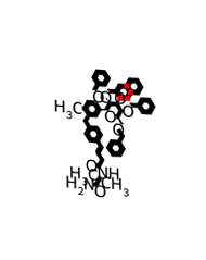 Cc1cc(OCc2ccccc2)c([C@@H]2O[C@H](COCc3ccccc3)[C@@H](OCc3ccccc3)[C@H](OCc3ccccc3)[C@H]2OCc2ccccc2)cc1Cc1ccc(/C=C/CC(=O)NC(C)(C)C(N)=O)cc1